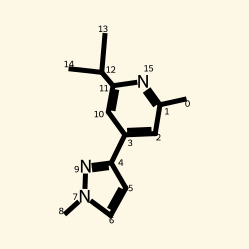 Cc1cc(-c2ccn(C)n2)cc(C(C)C)n1